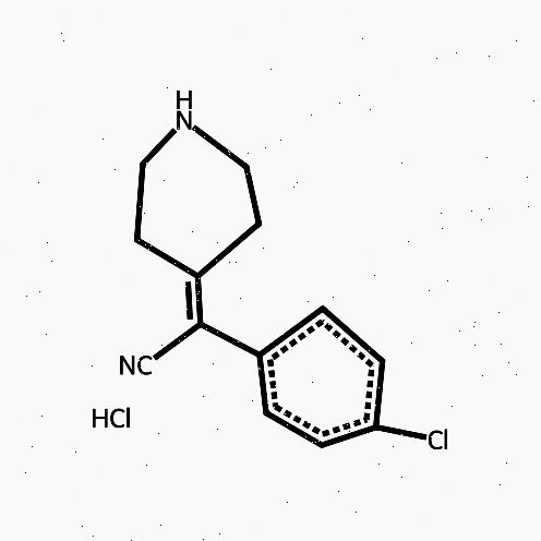 Cl.N#CC(=C1CCNCC1)c1ccc(Cl)cc1